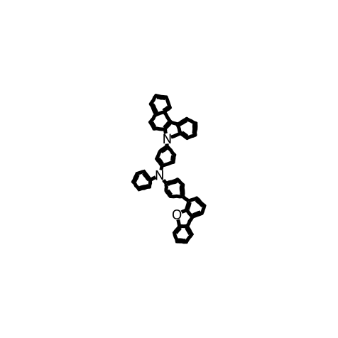 c1ccc(N(c2ccc(-c3cccc4c3oc3ccccc34)cc2)c2ccc(-n3c4ccccc4c4c5ccccc5ccc43)cc2)cc1